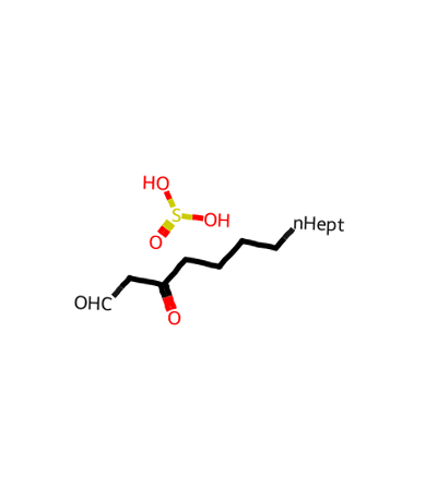 CCCCCCCCCCCC(=O)CC=O.O=S(O)O